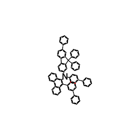 c1ccc(-c2ccc(N(c3ccc4c(c3)C(c3ccccc3)(c3ccccc3)c3cc(-c5ccccc5)ccc3-4)c3c(-c4cccc(-c5ccccc5)c4)c4ccccc4c4ccccc34)cc2)cc1